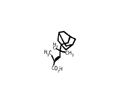 CC(=CC(C)(C)C12CC3CC(CC(C3)C1)C2)C(=O)O